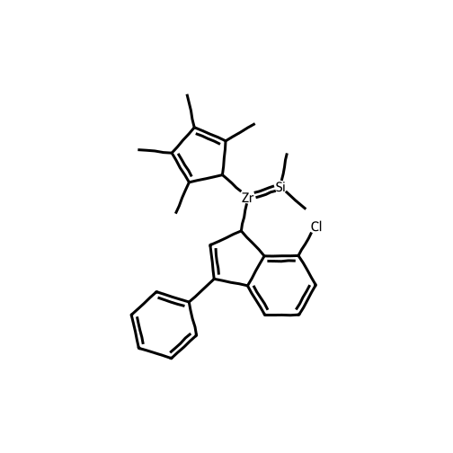 CC1=C(C)[CH]([Zr]([CH]2C=C(c3ccccc3)c3cccc(Cl)c32)=[Si](C)C)C(C)=C1C